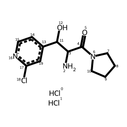 Cl.Cl.NC(C(=O)N1CCCC1)C(O)c1ccnc(Cl)c1